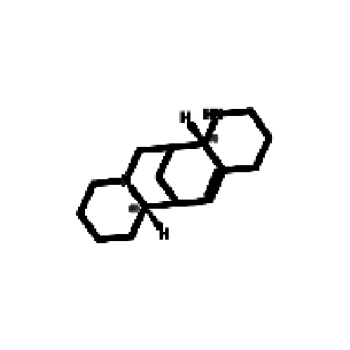 C1=C2CCCN[C@H]2C2CC1[C@H]1CCCCN1C2